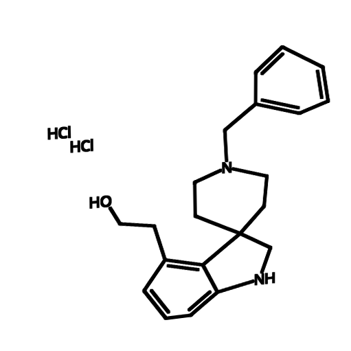 Cl.Cl.OCCc1cccc2c1C1(CCN(Cc3ccccc3)CC1)CN2